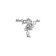 COc1cc(C(C)C)c(Oc2cnc(NC(=O)C3CCC(C(C)=O)CC3)nc2NC(=O)C2CCC(C(C)=O)CC2)cc1I